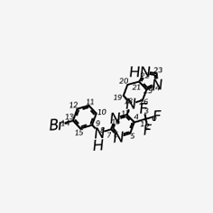 FC(F)(F)c1cnc(Nc2cccc(Br)c2)nc1N1CCc2[nH]cnc2C1